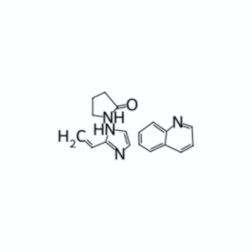 C=Cc1ncc[nH]1.O=C1CCCN1.c1ccc2ncccc2c1